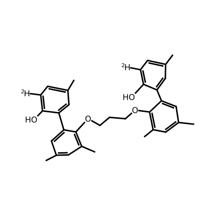 [2H]c1cc(C)cc(-c2cc(C)cc(C)c2OCCCOc2c(C)cc(C)cc2-c2cc(C)cc([2H])c2O)c1O